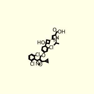 CC(C)n1nc(C(=O)O)cc1[C@H]1C[C@](O)(C2CC=C(OCc3c(-c4c(Cl)cccc4Cl)noc3C3CC3)C=C2Cl)C1